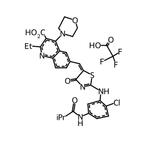 CCc1nc2ccc(C=C3SC(Nc4cc(NC(=O)C(C)C)ccc4Cl)=NC3=O)cc2c(N2CCOCC2)c1C(=O)O.O=C(O)C(F)(F)F